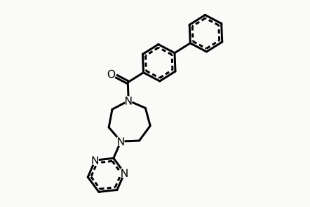 O=C(c1ccc(-c2ccccc2)cc1)N1CCCN(c2ncccn2)CC1